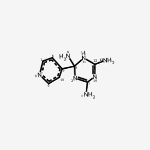 NC1=NC(N)(c2ccncc2)NC(N)=N1